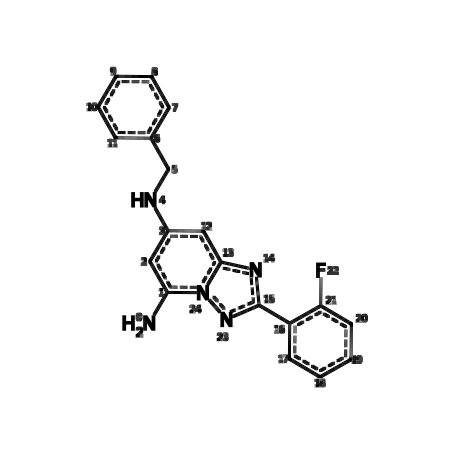 Nc1cc(NCc2ccccc2)cc2nc(-c3ccccc3F)nn12